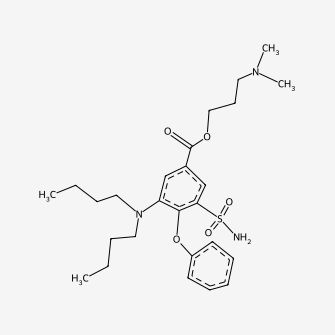 CCCCN(CCCC)c1cc(C(=O)OCCCN(C)C)cc(S(N)(=O)=O)c1Oc1ccccc1